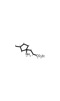 CCOC(=O)CCC1(N)CCC(C)C1